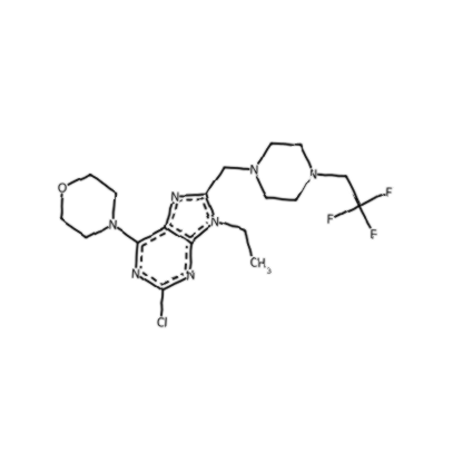 CCn1c(CN2CCN(CC(F)(F)F)CC2)nc2c(N3CCOCC3)nc(Cl)nc21